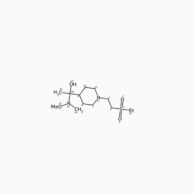 CCS(=O)(=O)CCN1CCC(C(C)(O)N(C)OC)CC1